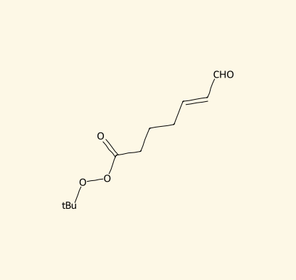 CC(C)(C)OOC(=O)CCCC=CC=O